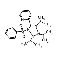 CC(C)N1C(c2ccccn2)N(S(=O)(=O)c2ccccc2)N(C(C)C)N1C(C)C